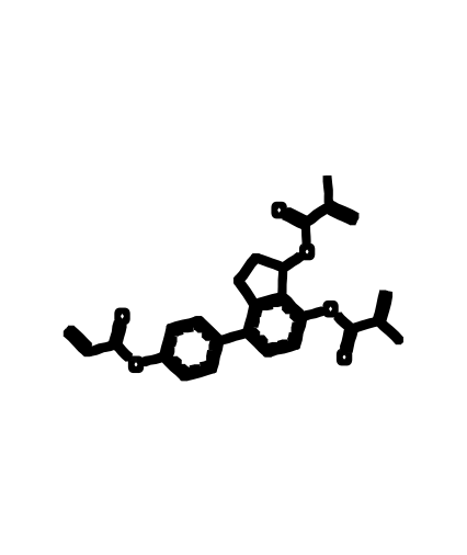 C=CC(=O)Oc1ccc(-c2ccc(OC(=O)C(=C)C)c3c2CCC3OC(=O)C(=C)C)cc1